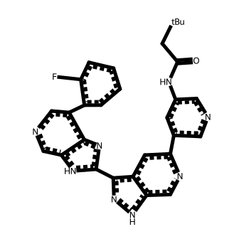 CC(C)(C)CC(=O)Nc1cncc(-c2cc3c(-c4nc5c(-c6ccccc6F)cncc5[nH]4)n[nH]c3cn2)c1